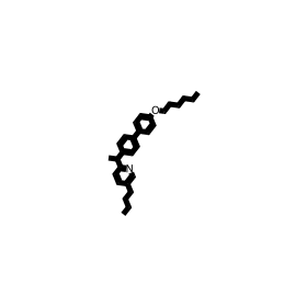 CCCCCCOc1ccc(-c2ccc(C(C)c3ccc(CCCC)cn3)cc2)cc1